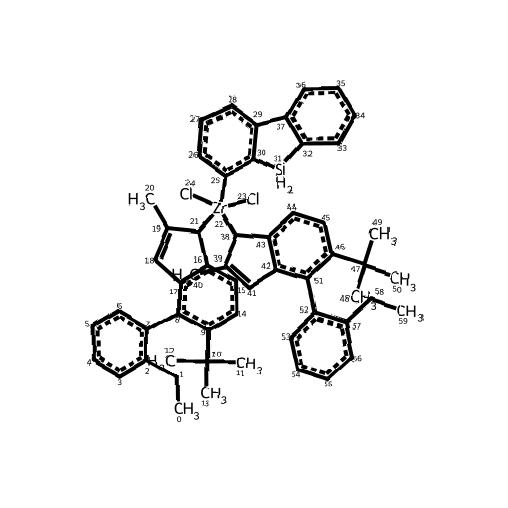 CCc1ccccc1-c1c(C(C)(C)C)ccc2c1C=C(C)[CH]2[Zr]([Cl])([Cl])([c]1cccc2c1[SiH2]c1ccccc1-2)[CH]1C(C)=Cc2c1ccc(C(C)(C)C)c2-c1ccccc1CC